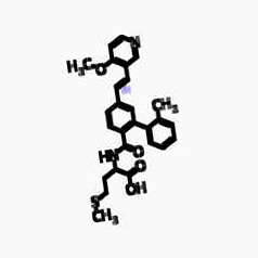 COc1ccncc1/C=C/c1ccc(C(=O)NC(CCSC)C(=O)O)c(-c2ccccc2C)c1